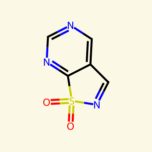 O=S1(=O)N=Cc2cncnc21